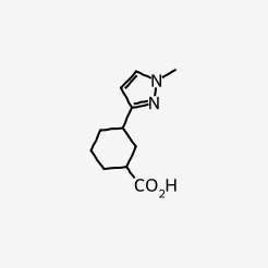 Cn1ccc(C2CCCC(C(=O)O)C2)n1